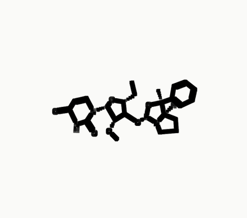 CC[C@H]1O[C@@H](n2ccc(=O)[nH]c2=O)[C@@H](OC)C1O[P@]1O[C@@](C)(c2ccccc2)[C@H]2CCCN21